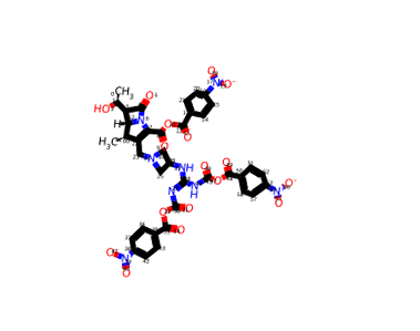 C[C@@H](O)C1C(=O)N2C(C(=O)OC(=O)c3ccc([N+](=O)[O-])cc3)=C(CN3CC(NC(=NC(=O)OC(=O)c4ccc([N+](=O)[O-])cc4)NC(=O)OC(=O)c4ccc([N+](=O)[O-])cc4)C3)[C@H](C)[C@H]12